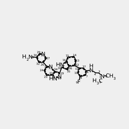 CN(C)CCNc1cc(F)cc(-c2cccc3[nH]c(-c4n[nH]c5ccc(-c6cncc(N)c6)nc45)cc23)c1